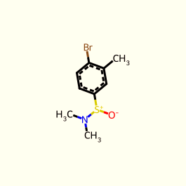 Cc1cc([S+]([O-])N(C)C)ccc1Br